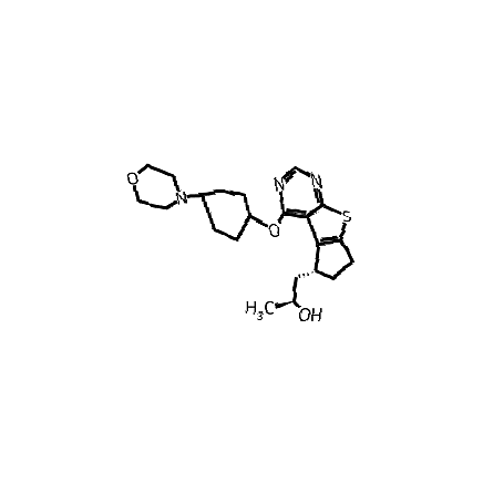 C[C@H](O)C[C@H]1CCc2sc3ncnc(OC4CCC(N5CCOCC5)CC4)c3c21